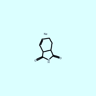 O=C1NC(=O)C2CCC=CC12.[Na]